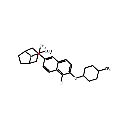 CC(c1ccc2c(Cl)c(OC3CCC(C(F)(F)F)CC3)ccc2c1)N1C2CCC1CC(C(=O)O)C2